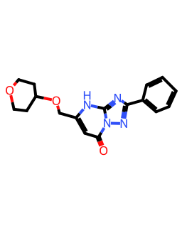 O=c1cc(COC2CCOCC2)[nH]c2nc(-c3ccccc3)nn12